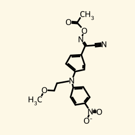 COCCN(c1ccc(/C(C#N)=N/OC(C)=O)cc1)c1ccc([N+](=O)[O-])cc1